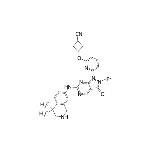 CC(C)n1c(=O)c2cnc(Nc3ccc4c(c3)CNCC4(C)C)nc2n1-c1cccc(OC2CC(C#N)C2)n1